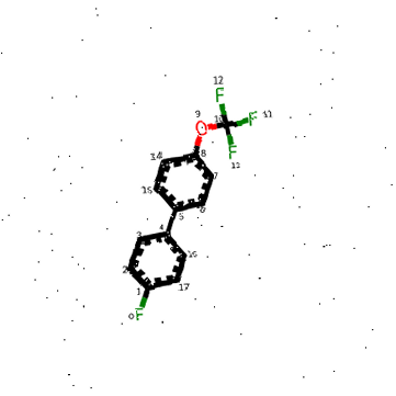 Fc1ccc(-c2ccc(OC(F)(F)F)cc2)cc1